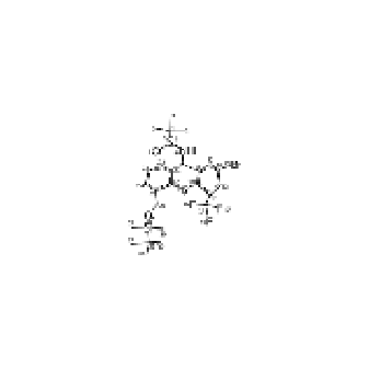 CC(C)(C)[S+]([O-])NCc1cc(Br)cc(C(F)(F)F)c1Sc1ccccc1CO[Si](C)(C)C(C)(C)C